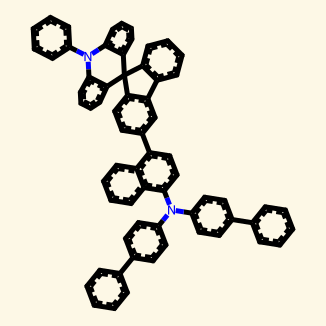 c1ccc(-c2ccc(N(c3ccc(-c4ccccc4)cc3)c3ccc(-c4ccc5c(c4)-c4ccccc4C54c5ccccc5N(c5ccccc5)c5ccccc54)c4ccccc34)cc2)cc1